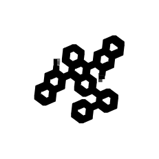 Fc1cc2ccccc2cc1-c1c2c(c(-c3cc4ccccc4cc3F)c3cc(-c4ccccc4-c4ccccc4)ccc13)CCC=C2